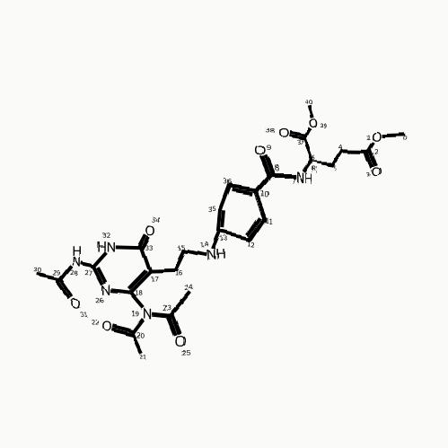 COC(=O)CC[C@@H](NC(=O)c1ccc(NCCc2c(N(C(C)=O)C(C)=O)nc(NC(C)=O)[nH]c2=O)cc1)C(=O)OC